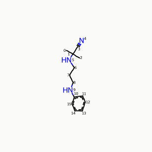 CC(C)(C#N)NCCCNc1ccccc1